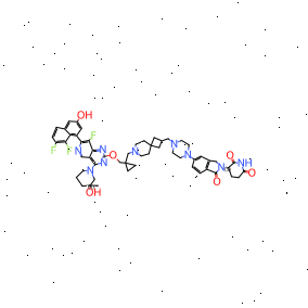 C[C@@]1(O)CCCN(c2nc(OCC3(CN4CCC5(CC4)CC(CN4CCN(c6ccc7c(c6)CN([C@H]6CCC(=O)NC6=O)C7=O)CC4)C5)CC3)nc3c(F)c(-c4cc(O)cc5ccc(F)c(F)c45)ncc23)C1